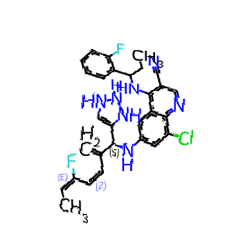 C=C(/C=C\C(F)=C/C)[C@H](Nc1cc(Cl)c2ncc(C#N)c(NC(CC)c3ccccc3F)c2c1)C1=CNNN1